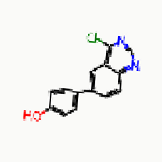 Oc1ccc(-c2ccc3ncnc(Cl)c3c2)cc1